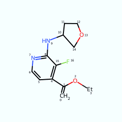 C=C(OCC)c1ccnc(NC2CCOC2)c1F